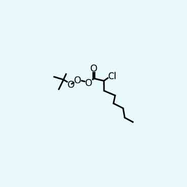 CCCCCCC(Cl)C(=O)OOOC(C)(C)C